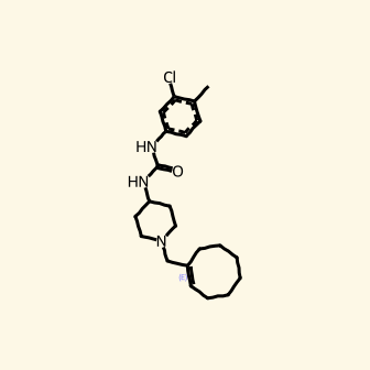 Cc1ccc(NC(=O)NC2CCN(C/C3=C/CCCCCC3)CC2)cc1Cl